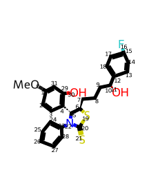 COc1ccc([C@@H]2[C@@H](CCC[C@@H](O)c3ccc(F)cc3)SC(=S)N2c2ccccc2)c(O)c1